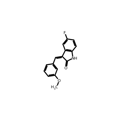 COc1cccc(C=C2C(=O)Nc3ccc(F)cc32)c1